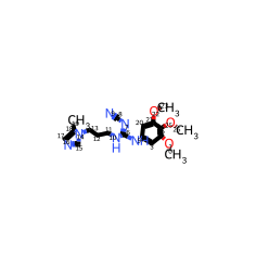 COc1cc(NC(=NC#N)NCCCn2cncc2C)cc(OC)c1OC